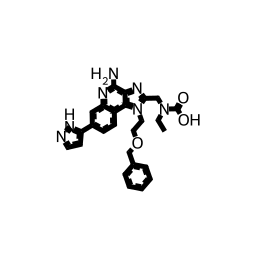 CCN(Cc1nc2c(N)nc3cc(-c4ccn[nH]4)ccc3c2n1CCOCc1ccccc1)C(=O)O